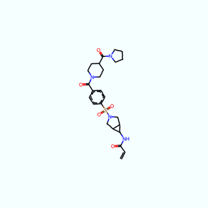 C=CC(=O)NC1C2CN(S(=O)(=O)c3ccc(C(=O)N4CCC(C(=O)N5CCCC5)CC4)cc3)CC21